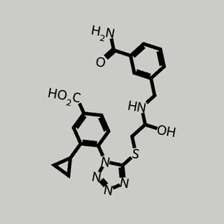 NC(=O)c1cccc(CNC(O)CSc2nnnn2-c2ccc(C(=O)O)cc2C2CC2)c1